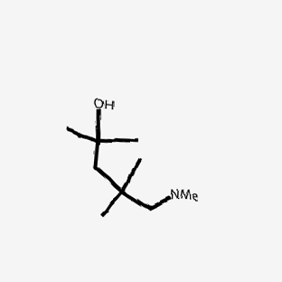 CNCC(C)(C)CC(C)(C)O